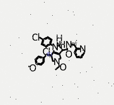 COc1ccc(/C=C2\CN(C(C)=O)CC3=C2N(c2ccc(Cl)cc2Cl)NC3C(=O)N[C@H](C)c2ccccn2)cc1